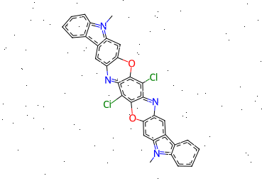 Cn1c2ccccc2c2cc3c(cc21)Oc1c(Cl)c2c(c(Cl)c1=N3)Oc1cc3c(cc1N=2)c1ccccc1n3C